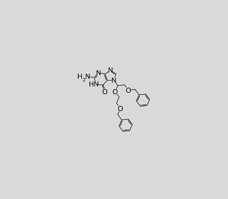 Nc1nc2ncn(C(COCc3ccccc3)OCCOCc3ccccc3)c2c(=O)[nH]1